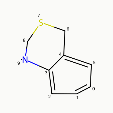 c1ccc2c(c1)CSC[N]2